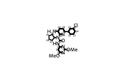 COc1cc(NC(=O)N(c2nc(-c3cccc(Cl)c3)ccc2N)C2CCCC2)nc(OC)n1